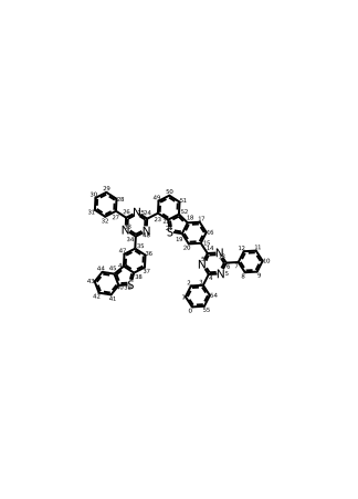 c1ccc(-c2nc(-c3ccccc3)nc(-c3ccc4c(c3)sc3c(-c5nc(-c6ccccc6)nc(-c6ccc7sc8ccccc8c7c6)n5)cccc34)n2)cc1